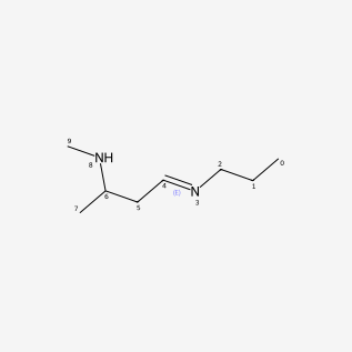 CCC/N=C/CC(C)NC